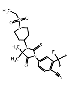 CCS(=O)(=O)N1CCC(N2C(=S)N(c3ccc(C#N)c(C(F)(F)F)c3)C(=O)C2(C)C)CC1